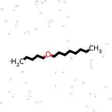 [CH2]CCCCOCCCCCCCC